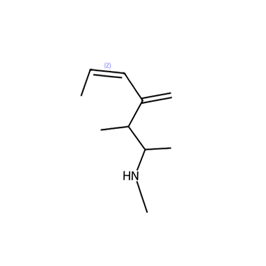 C=C(/C=C\C)C(C)C(C)NC